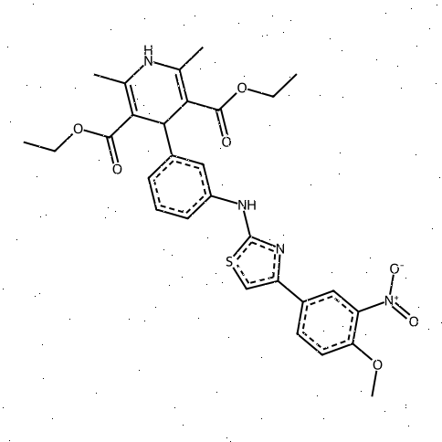 CCOC(=O)C1=C(C)NC(C)=C(C(=O)OCC)C1c1cccc(Nc2nc(-c3ccc(OC)c([N+](=O)[O-])c3)cs2)c1